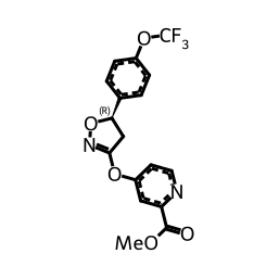 COC(=O)c1cc(OC2=NO[C@@H](c3ccc(OC(F)(F)F)cc3)C2)ccn1